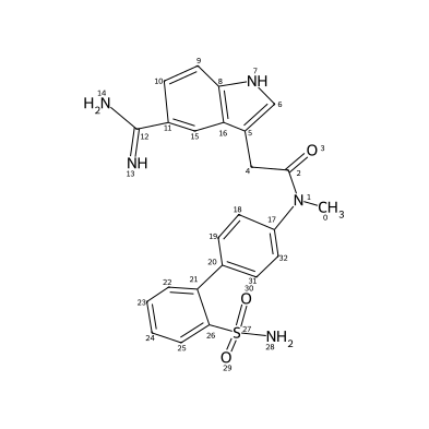 CN(C(=O)Cc1c[nH]c2ccc(C(=N)N)cc12)c1ccc(-c2ccccc2S(N)(=O)=O)cc1